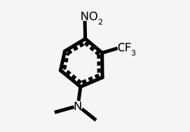 CN(C)c1ccc([N+](=O)[O-])c(C(F)(F)F)c1